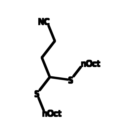 CCCCCCCCSC(CCC#N)SCCCCCCCC